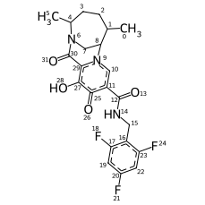 CC1CCC(C)N2CC1n1cc(C(=O)NCc3c(F)cc(F)cc3F)c(=O)c(O)c1C2=O